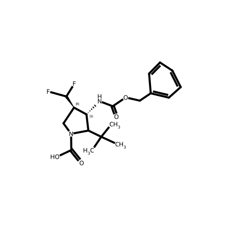 CC(C)(C)C1[C@@H](NC(=O)OCc2ccccc2)[C@H](C(F)F)CN1C(=O)O